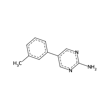 Cc1cccc(-c2cnc(N)nc2)c1